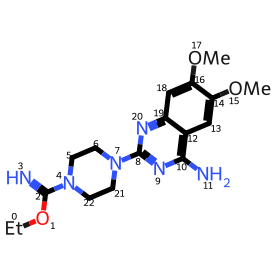 CCOC(=N)N1CCN(c2nc(N)c3cc(OC)c(OC)cc3n2)CC1